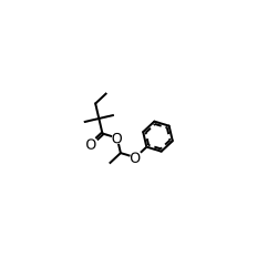 CCC(C)(C)C(=O)OC(C)Oc1ccccc1